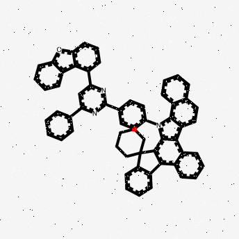 c1ccc(-c2cc(-c3cccc4oc5ccccc5c34)nc(-c3ccc(-n4c5c6c(c7ccccc7c5c5ccc7ccccc7c54)-c4ccccc4C64CCCCC4)cc3)n2)cc1